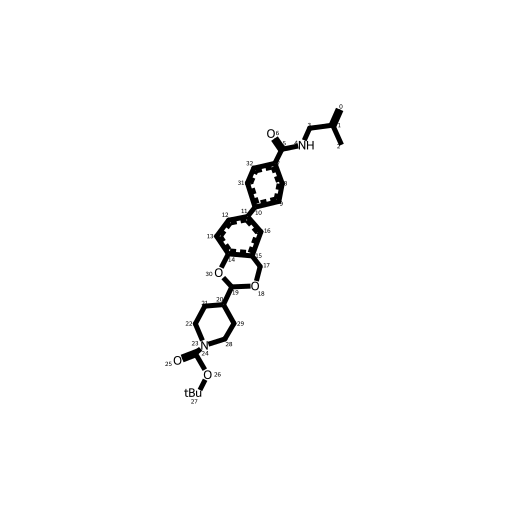 C=C(C)CNC(=O)c1ccc(-c2ccc3c(c2)COC(C2CCN(C(=O)OC(C)(C)C)CC2)O3)cc1